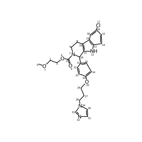 COCCOC(=O)N1CCc2c([nH]c3ccc(Cl)cc23)C1c1ccc(OCCCn2ccnc2)cc1